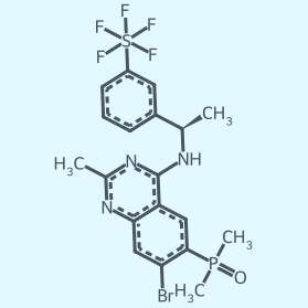 Cc1nc(N[C@H](C)c2cccc(S(F)(F)(F)(F)F)c2)c2cc(P(C)(C)=O)c(Br)cc2n1